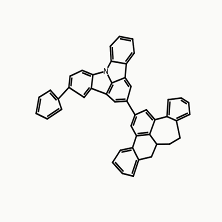 c1ccc(-c2ccc3c(c2)c2cc(-c4cc5c6c(c4)-c4ccccc4CC6CCc4ccccc4-5)cc4c5ccccc5n3c42)cc1